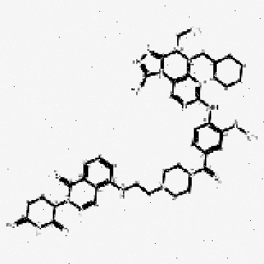 CC[C@@H]1c2nnc(C)n2-c2cnc(Nc3ccc(C(=O)N4CCN(CCNc5cccc6c(=O)n(C7CCC(=O)NC7=O)ncc56)CC4)cc3OC)nc2N1CC1CCCCC1